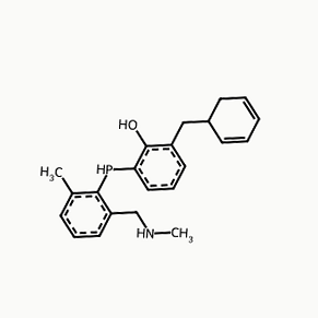 CNCc1cccc(C)c1Pc1cccc(CC2C=CC=CC2)c1O